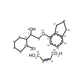 CCN1CCCCC1C(O)COc1cccc2c1CCC2.O=C(O)/C=C\C(=O)O